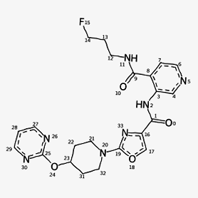 O=C(Nc1cnccc1C(=O)NCCCF)c1coc(N2CCC(Oc3ncccn3)CC2)n1